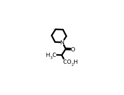 CC(C(=O)O)C(=O)N1CC[CH]CC1